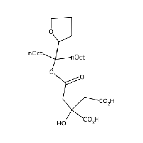 CCCCCCCCC(CCCCCCCC)(OC(=O)CC(O)(CC(=O)O)C(=O)O)C1CCCO1